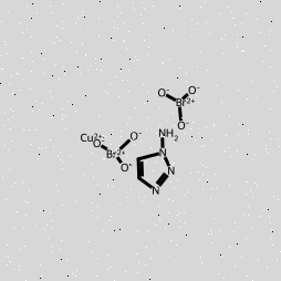 Nn1ccnn1.[Cu+2].[O-][Br+2]([O-])[O-].[O-][Br+2]([O-])[O-]